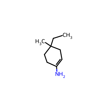 CCC1(C)CC=C(N)CC1